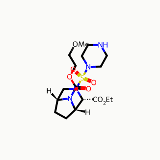 CCOC(=O)[C@@H]1[C@@H]2CC[C@H](CN1S(=O)(=O)N1CCNCC1)N2C(=O)OCCOC